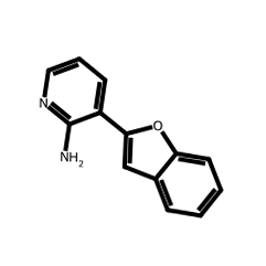 Nc1ncccc1-c1cc2ccccc2o1